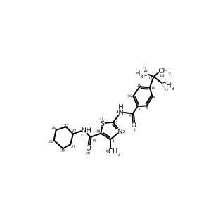 Cc1nc(NC(=O)c2ccc(C(C)(C)C)cc2)sc1C(=O)NC1CCCCC1